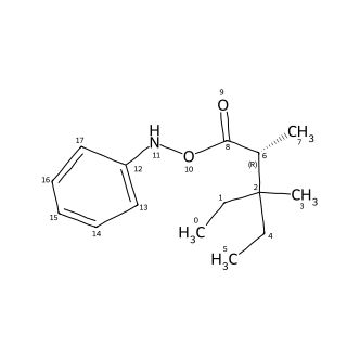 CCC(C)(CC)[C@@H](C)C(=O)ONc1ccccc1